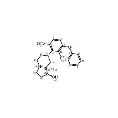 O=[N+]([O-])c1ccc(Oc2ccccc2)c(C(F)(F)F)c1N1CCN2CC[C@H](O)[C@@H]2C1